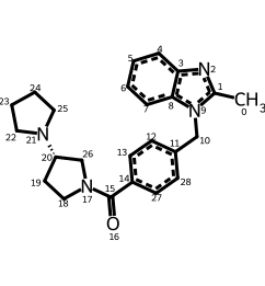 Cc1nc2ccccc2n1Cc1ccc(C(=O)N2CC[C@H](N3CCCC3)C2)cc1